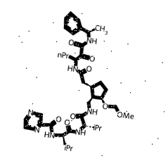 CCCC(NC(=O)C[C@H]1CC[C@@H](OCOC)[C@H]1CNC(=O)[C@@H](NC(=O)[C@H](NC(=O)c1cnccn1)C(C)C)C(C)C)C(=O)C(=O)N[C@H](C)c1ccccc1